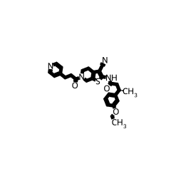 CCOc1cccc([C@@H](C)CC(=O)Nc2sc3c(c2C#N)CCN(C(=O)CCc2ccncc2)C3)c1